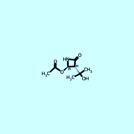 CC(=O)O[C@H]1NC(=O)[C@@H]1C(C)(C)O